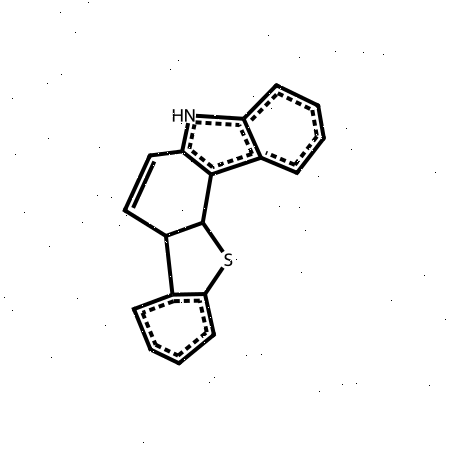 C1=CC2c3ccccc3SC2c2c1[nH]c1ccccc21